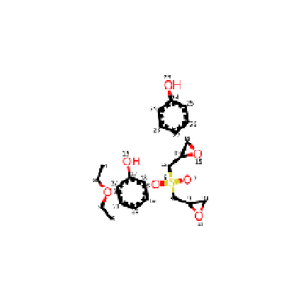 CCOCC.O=S(=O)(CC1CO1)CC1CO1.Oc1ccccc1.Oc1ccccc1